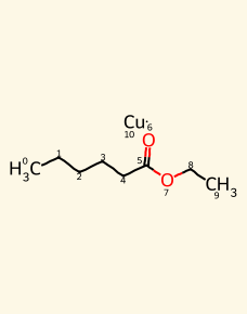 CCCCCC(=O)OCC.[Cu]